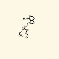 CCOPC(OCCn1cnc2ncnc(N)c21)POCC